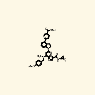 COC(=O)c1ccc(-c2cccc3c2CCN3c2cc(N(C)Cc3ccc(OC)cc3)c3ncc(C(=O)N[C@@H]4C[C@@H]4F)n3n2)nc1